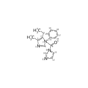 CCC1=C(C)N=C[N+]1(C(=O)n1ccnc1)c1ccccc1